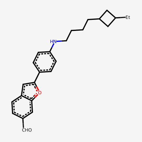 CCC1CC(CCCCNc2ccc(-c3cc4ccc(C=O)cc4o3)cc2)C1